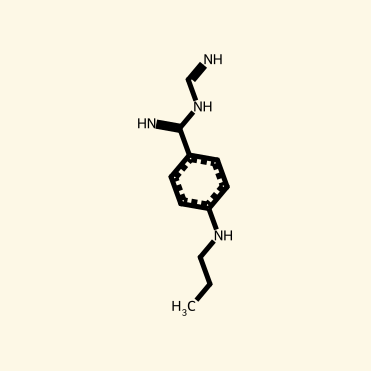 CCCNc1ccc(C(=N)NC=N)cc1